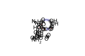 CO[C@H]1/C=C/O[C@@]2(C)Oc3c(C)c(O)c4c(=O)c(c5oc6cc(N7CCC(N(C)C)CC7)cc(OCc7ccc(NC(=O)[C@H](CCCNC(N)=O)NC(=O)C(NC(=O)CCCCCN8C(=O)C=CC8=O)C(C)C)cc7)c6nc-5c4c3C2=O)NC(=O)/C(C)=C\C=C\[C@H](C)[C@H](O)[C@@H](C)[C@@H](O)[C@@H](C)[C@H](OC(C)=O)[C@@H]1C